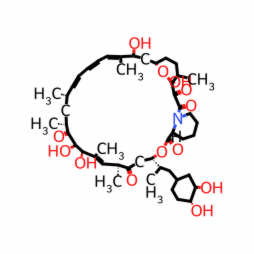 C\C1=C/C=C/C=C/[C@@H](C)C[C@@H](C)C(=O)C(O)[C@H](O)/C(C)=C/[C@@H](C)C(=O)C[C@@H](C(C)CC2CC[C@@H](O)C(O)C2)OC(=O)[C@@H]2CCCCN2C(=O)C(=O)C2(O)OC(CCC2C)CC1O